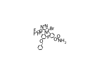 NC(=O)Oc1ccc(-c2c(Br)c3ncnc(OCC(F)(F)F)c3n2-c2c(F)cc(OCc3ccccc3)cc2F)cc1